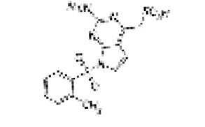 CNc1nc(CS(=O)(=O)O)c2ccn(S(=O)(=O)c3ccccc3C)c2n1